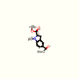 COC(=O)c1ccc2c(c1)CC(C(=O)OC(C)(C)C)N2C(C)C